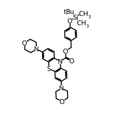 CC(C)(C)[Si](C)(C)Oc1ccc(COC(=O)N2c3ccc(N4CCOCC4)cc3Sc3cc(N4CCOCC4)ccc32)cc1